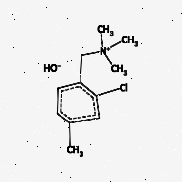 Cc1ccc(C[N+](C)(C)C)c(Cl)c1.[OH-]